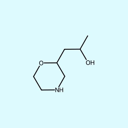 CC(O)CC1CNCCO1